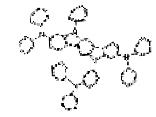 c1ccc(N(c2ccccc2)c2cccc(-n3c4cc(N(c5ccccc5)c5ccccc5)ccc4c4cc5c(cc43)c3ccc(N(c4ccccc4)c4ccccc4)cc3n5-c3ccccc3)c2)cc1